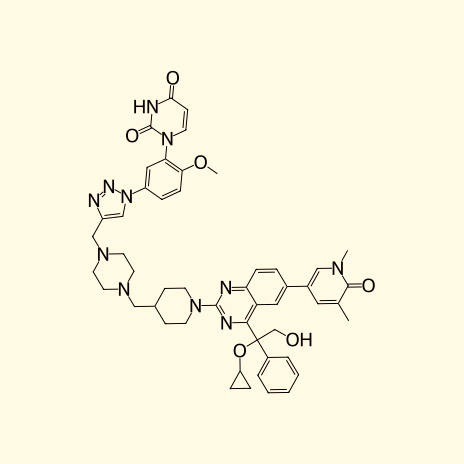 COc1ccc(-n2cc(CN3CCN(CC4CCN(c5nc(C(CO)(OC6CC6)c6ccccc6)c6cc(-c7cc(C)c(=O)n(C)c7)ccc6n5)CC4)CC3)nn2)cc1-n1ccc(=O)[nH]c1=O